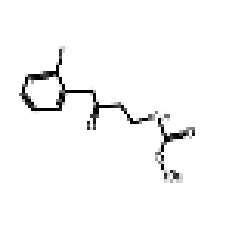 CC(C)(C)OC(=O)NCCC(=O)Cc1ccccc1F